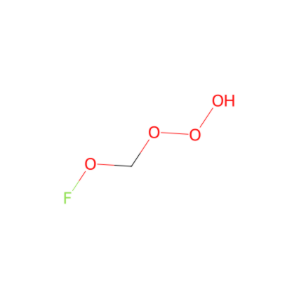 OOOCOF